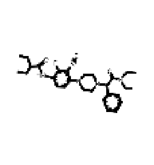 [C-]#[N+]c1c(N2CCN(C(C(=O)N(CC)CC)c3ccccc3)CC2)ccc(NC(=O)C(CC)CC)c1F